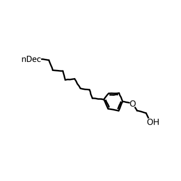 CCCCCCCCCCCCCCCCCCc1ccc(OCCO)cc1